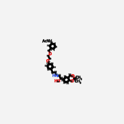 CC(=O)Nc1cccc(COCCOc2ccc(CCNC[C@@H](O)c3ccc4c(c3)COC(C)(C)O4)cc2)c1